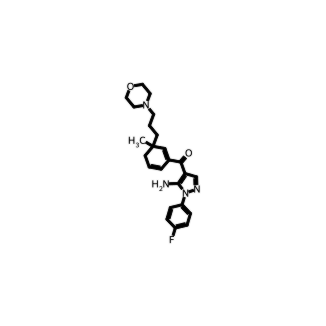 CC1(CCCN2CCOCC2)C=C(C(=O)c2cnn(-c3ccc(F)cc3)c2N)C=CC1